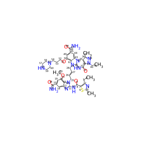 CCc1nc(C)sc1C(=O)Nc1nc2cc(C(N)=O)cc(OC)c2n1C/C=C/Cn1c(NC(=O)c2cc(C)nn2CC)nc2cc(C(N)=O)cc(OCCCN3CCNCC3)c21